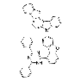 C1=CC2Oc3cc(-n4c5ccccc5c5c6sc7ccccc7c6ccc54)ccc3C2C(C2=NC(c3ccccc3)=NC(c3ccccc3)N2)=C1